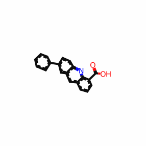 O=C(O)c1cccc2cc3cc(-c4ccccc4)ccc3nc12